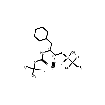 CC(C)(C)OC(=O)N[C@@H](CC1CCCCC1)[C@@H](C#N)O[Si](C)(C)C(C)(C)C